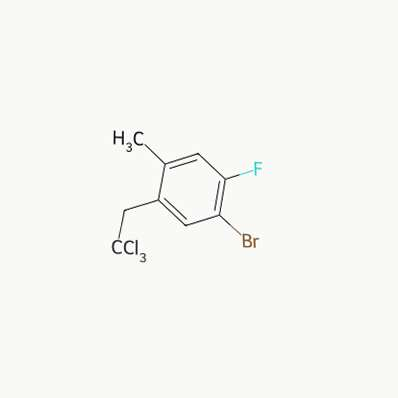 Cc1cc(F)c(Br)cc1CC(Cl)(Cl)Cl